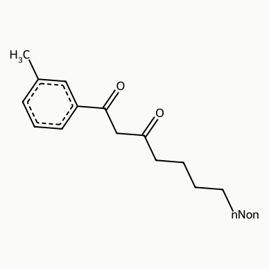 CCCCCCCCCCCCCC(=O)CC(=O)c1cccc(C)c1